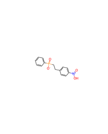 O=[N+](O)c1ccc(CCP(=O)([O-])c2ccccc2)cc1